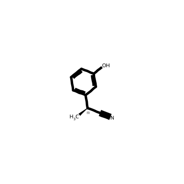 C[C@H](C#N)c1cccc(O)c1